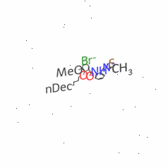 CCCCCCCCCCCCCCOc1c(OC)cccc1C(=O)Nc1ccccc1C[n+]1csc(C)c1.[Br-]